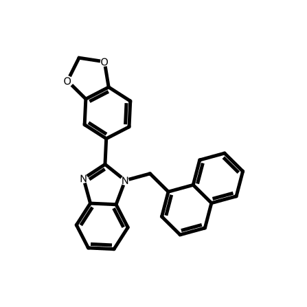 c1ccc2c(Cn3c(-c4ccc5c(c4)OCO5)nc4ccccc43)cccc2c1